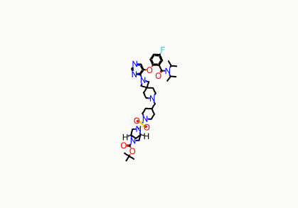 CC(C)N(C(=O)c1cc(F)ccc1Oc1cncnc1N1CC2(CCN(CC3CCN(S(=O)(=O)N4C[C@@H]5C[C@H]4CN5C(=O)OC(C)(C)C)CC3)CC2)C1)C(C)C